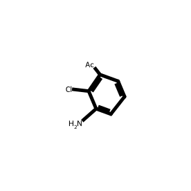 CC(=O)c1cccc(N)c1Cl